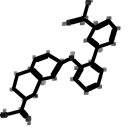 O=C(O)C1CCc2ccc(Oc3ccccc3-c3cccc([N+](=O)[O-])c3)cc2C1